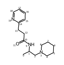 CC(CN1CCCCC1)NC(=O)CCc1ccccn1